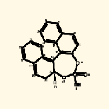 O=P1(O)Oc2ccc3ccccc3c2C2=c3ccccc3=CC[C@@H]2O1